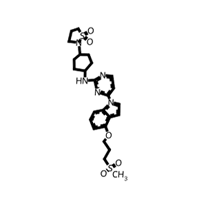 CS(=O)(=O)CCCOc1cccc2c1ccn2-c1ccnc(NC2CCC(N3CCCS3(=O)=O)CC2)n1